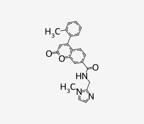 Cc1ccccc1-c1cc(=O)oc2cc(C(=O)NCc3nccn3C)ccc12